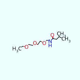 CCOCCOCCOCNC(=O)CC(C)C